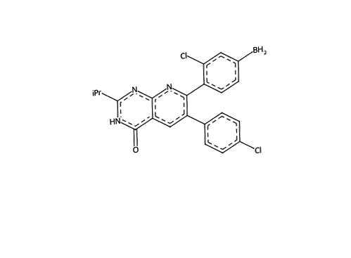 Bc1ccc(-c2nc3nc(C(C)C)[nH]c(=O)c3cc2-c2ccc(Cl)cc2)c(Cl)c1